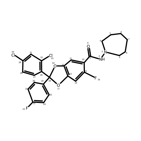 O=C(NN1CCCCCC1)c1cc2c(cc1F)OC(c1ccc(F)cc1)(c1ccc(Cl)cc1Cl)O2